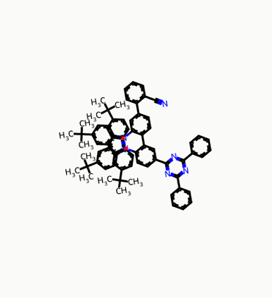 CC(C)(C)c1ccc2c(c1)c1cc(C(C)(C)C)ccc1n2-c1ccc(-c2nc(-c3ccccc3)nc(-c3ccccc3)n2)cc1-c1ccc(-c2ccccc2C#N)cc1-n1c2ccc(C(C)(C)C)cc2c2cc(C(C)(C)C)ccc21